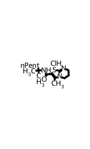 CCCCCC(C)(C)NC(=O)C1=C(C)N2CCCN=C2S1.Cl